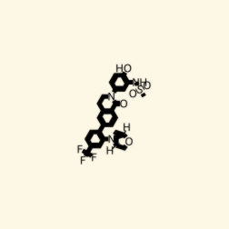 CS(=O)(=O)Nc1cc(N2CCc3cc(-c4ccc(C(F)(F)F)cc4N4C[C@@H]5C[C@H]4CO5)ccc3C2=O)ccc1O